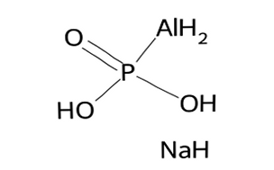 O=[P](O)(O)[AlH2].[NaH]